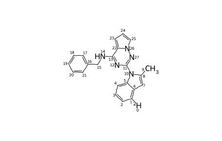 [2H]c1cccc2c1cc(C)n2-c1nc(NCc2ccccc2)c2cccn2n1